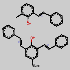 CCCCCCCCCc1cc(/C=C/c2ccccc2)c(O)c(/C=C/c2ccccc2)c1.Cc1cccc(/C=C/c2ccccc2)c1O